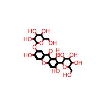 O=c1c2cc(OC3OC(CO)C(O)C(O)C3O)c(O)cc2oc2cc(O)c(C3OC(CO)C(O)C(O)C3O)c(O)c12